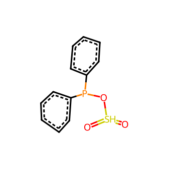 O=[SH](=O)OP(c1ccccc1)c1ccccc1